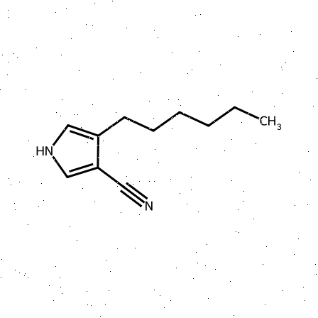 CCCCCCc1c[nH]cc1C#N